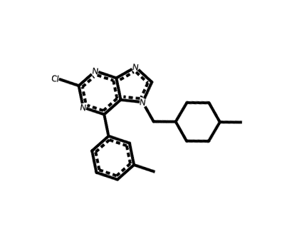 Cc1cccc(-c2nc(Cl)nc3ncn(CC4CCC(C)CC4)c23)c1